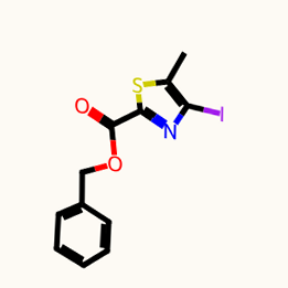 Cc1sc(C(=O)OCc2ccccc2)nc1I